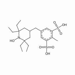 CCC1(CC)CC(Cc2cc(S(=O)(=O)O)c(C)c(S(=O)(=O)O)c2)CC(CC)(CC)N1O